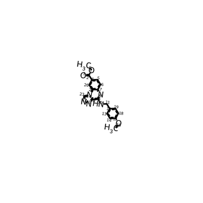 COC(=O)c1ccc2nc(NCc3ccc(OC)cc3)c3nncn3c2c1